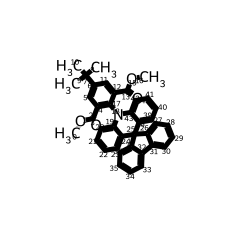 COC(=O)c1cc(C(C)(C)C)cc(C(=O)OC)c1N1c2ccccc2C2(c3ccccc3-c3ccccc32)c2ccccc21